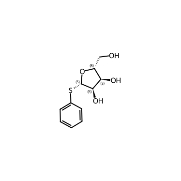 OC[C@H]1O[C@@H](Sc2ccccc2)[C@H](O)[C@@H]1O